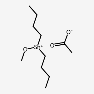 CC(=O)[O-].CCC[CH2][Sn+]([CH2]CCC)[O]C